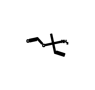 C=CC(C)(N)OC=O